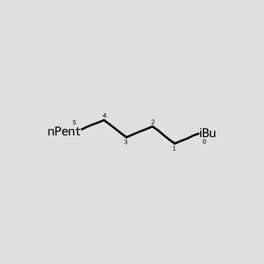 C[CH]C(C)CCCCCCCCC